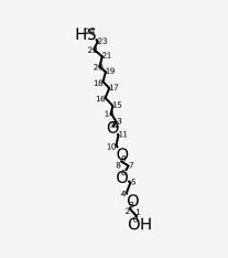 OCCOCCOCCOCCOCCCCCCCCCCCS